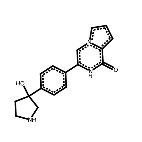 O=c1[nH]c(-c2ccc(C3(O)CCNC3)cc2)cn2cccc12